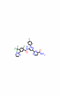 NC(=O)c1ccnc(-c2cc(NC(=O)c3cc(-c4ncccn4)c(C(F)(F)F)cc3F)n(-c3ccc(F)cc3)n2)n1